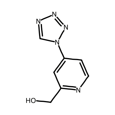 OCc1cc(-n2cnnn2)ccn1